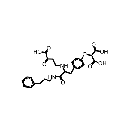 O=C(O)C(=O)CCNC(Cc1ccc(OC(C(=O)O)C(=O)O)cc1)C(=O)NCCCc1ccccc1